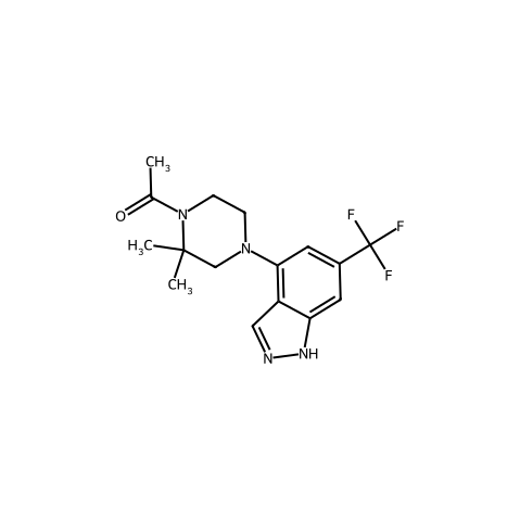 CC(=O)N1CCN(c2cc(C(F)(F)F)cc3[nH]ncc23)CC1(C)C